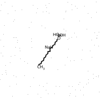 CCCCCCCCCCCCCCCCCCOP(O)O.[NaH]